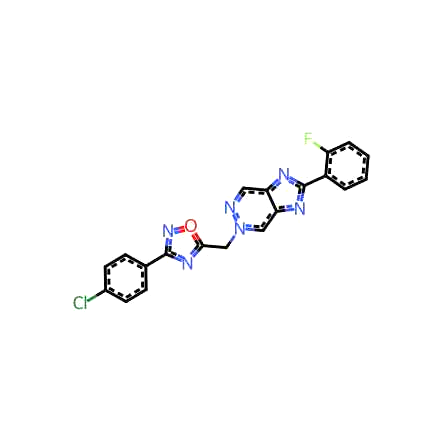 Fc1ccccc1-c1nc2cnn(Cc3nc(-c4ccc(Cl)cc4)no3)cc-2n1